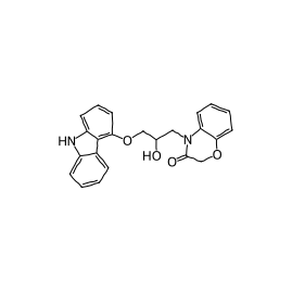 O=C1COc2ccccc2N1CC(O)COc1cccc2[nH]c3ccccc3c12